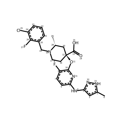 Cc1cc(Nc2ccc(F)c(O[C@@]3(C(=O)O)CCN(Cc4cccc(Cl)c4F)[C@H](C)C3)n2)n[nH]1